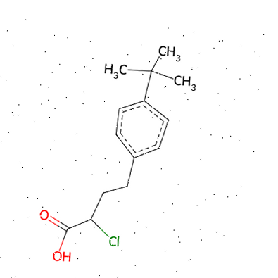 CC(C)(C)c1ccc(CCC(Cl)C(=O)O)cc1